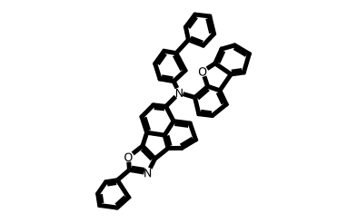 c1ccc(-c2cccc(N(c3ccc4c5c(cccc35)-c3nc(-c5ccccc5)oc3-4)c3cccc4c3oc3ccccc34)c2)cc1